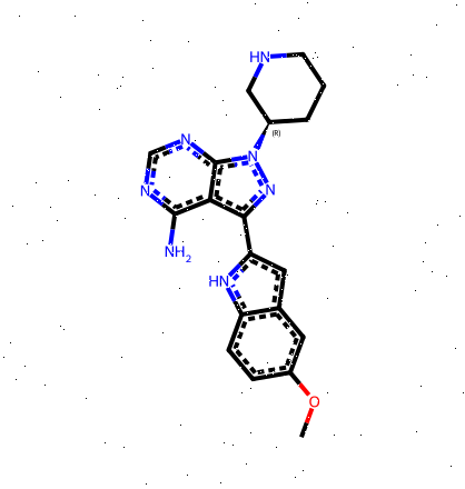 COc1ccc2[nH]c(-c3nn([C@@H]4CCCNC4)c4ncnc(N)c34)cc2c1